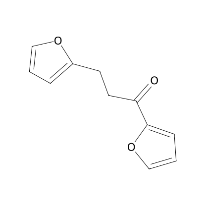 O=C(CCc1ccco1)c1ccco1